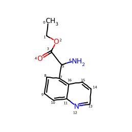 CCOC(=O)C(N)c1cccc2ncccc12